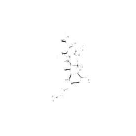 CN(C)c1cc(CNCC2CC2)c(O)c2c1C[C@H]1C[C@@H]3[C@@H](N(C)C)C(O)=C(C(N)=O)C(=O)[C@@]3(O)C(O)=C1C2=O